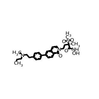 CCCN(C)CCc1ccc(-c2ccc3c(=O)n(CC[C@](C)(C(=O)NO)S(C)(=O)=O)ccc3c2)cc1